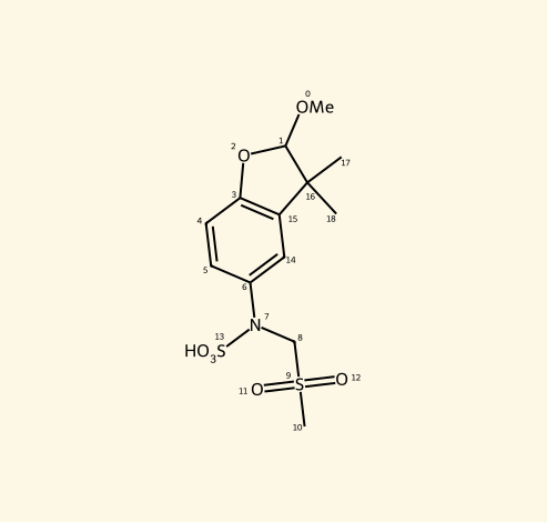 COC1Oc2ccc(N(CS(C)(=O)=O)S(=O)(=O)O)cc2C1(C)C